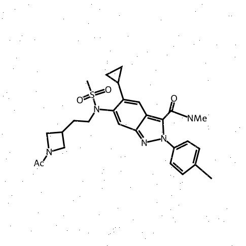 CNC(=O)c1c2cc(C3CC3)c(N(CCC3CN(C(C)=O)C3)S(C)(=O)=O)cc2nn1-c1ccc(C)cc1